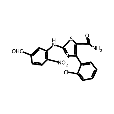 NC(=O)c1sc(Nc2cc(C=O)ccc2[N+](=O)[O-])nc1-c1ccccc1Cl